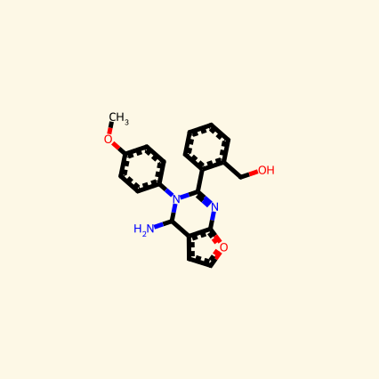 COc1ccc(N2C(c3ccccc3CO)=Nc3occc3C2N)cc1